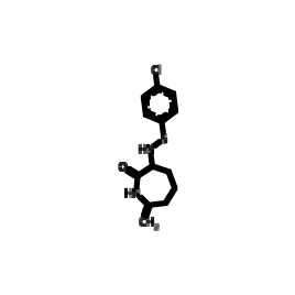 C=C1CCCC(NSc2ccc(Cl)cc2)C(=O)N1